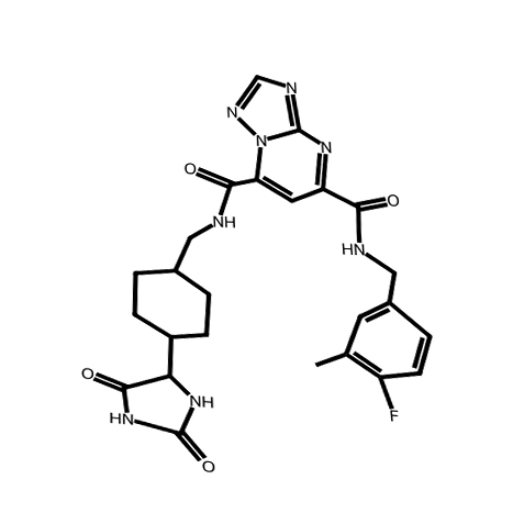 Cc1cc(CNC(=O)c2cc(C(=O)NCC3CCC(C4NC(=O)NC4=O)CC3)n3ncnc3n2)ccc1F